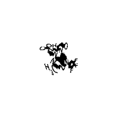 Cc1nc(N2CCN(C(=O)O)CC2)c2c(N3CCCC3=O)cn(-c3cc(F)c(F)c(F)c3)c2n1